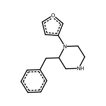 c1ccc(CC2CNCCN2c2ccoc2)cc1